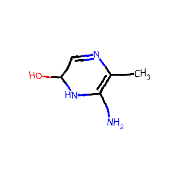 CC1=C(N)NC(O)C=N1